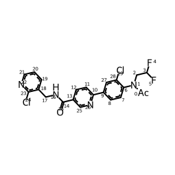 CC(=O)N(CC(F)F)c1ccc(-c2ccc(C(=O)NCc3cccnc3Cl)cn2)cc1Cl